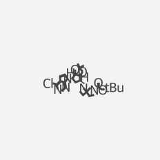 CC(C)(C)OC(=O)N1CCC2(CCN2C[C@H]2C[C@@H](n3ccc4c(Cl)ncnc43)[C@@H]3OC(C)(C)O[C@H]23)C1